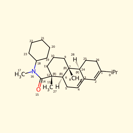 CC(C)C1=CC2=CC[C@@H]3[C@](C)(CCC[C@@]3(C)C(=O)N(C)C3CCCCC3)[C@H]2CC1